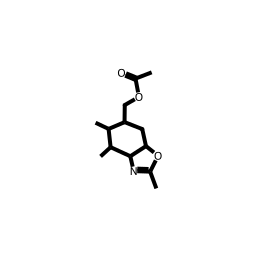 CC(=O)OCC1CC2OC(C)=NC2C(C)C1C